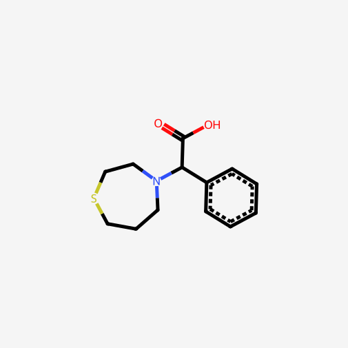 O=C(O)C(c1ccccc1)N1CCCSCC1